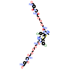 Cc1c(Cc2sc3c(c2C)C(c2ccc(Cl)cc2)=N[C@@H](CC(=O)NCCOCCOCCOCCC(=O)NC2CCCN(C(=O)c4ccc5c(c4)NC(=O)C5)C2)c2nnc(C)n2-3)sc2c1C(c1ccc(Cl)cc1)=N[C@@H](CC(=O)NCCOCCOCCOCCC(=O)NC1CCCN(C(=O)C3=CCC4NC(=O)CC4=C3)C1)c1nnc(C)n1-2